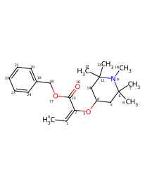 CC=C(OC1CC(C)(C)N(C)C(C)(C)C1)C(=O)OCc1ccccc1